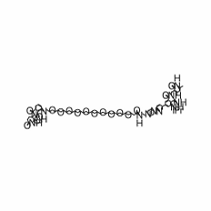 Cc1cc(C)c(CNC(=O)c2cc(-c3ccc(N4CCN(CCNC(=O)CCOCCOCCOCCOCCOCCOCCOCCOCCOCCOCCNc5cccc6c5C(=O)N(C5CCC(=O)NC5=O)C6=O)CC4)nc3)cc(NC(C)C)c2C=N)c(=O)[nH]1